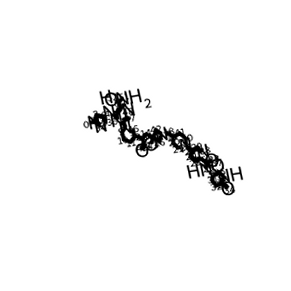 Cn1cc(Nc2nc(N3CCCC(C4CC5(CN(CC6CCN(c7ccc(C(=O)NC8CCC(=O)NC8=O)nc7)CC6)C5)OC4=O)C3)cnc2C(N)=O)cn1